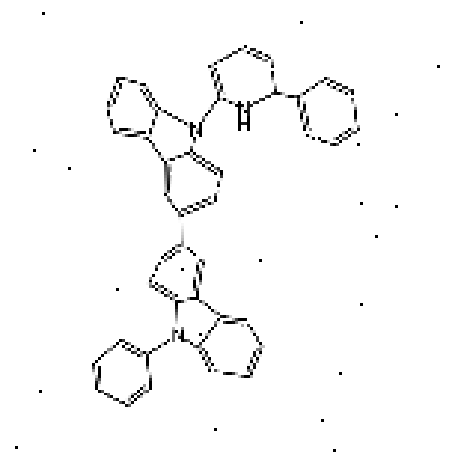 C1=CC(c2ccccc2)NC(n2c3ccccc3c3cc(-c4ccc5c(c4)c4ccccc4n5-c4ccccc4)ccc32)=C1